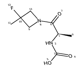 C[C@@H](NC(=O)O)C(=O)N1CC(C)(F)C1